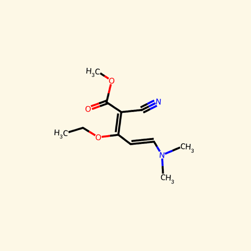 CCOC(C=CN(C)C)=C(C#N)C(=O)OC